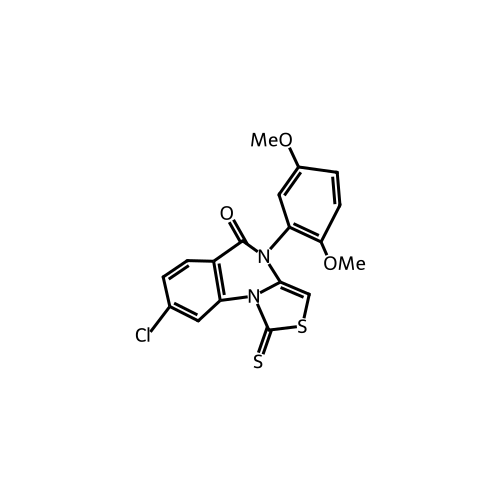 COc1ccc(OC)c(-n2c(=O)c3ccc(Cl)cc3n3c(=S)scc23)c1